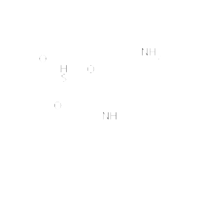 CC(NCCN)O[SH](=O)=O